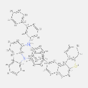 C1=Cc2c(sc3ccc4ccc(-c5ccc(N(c6cccc(-c7ccccc7)c6)c6cccc7c8ccccc8n(-c8ccccc8)c67)cc5)cc4c23)CC1